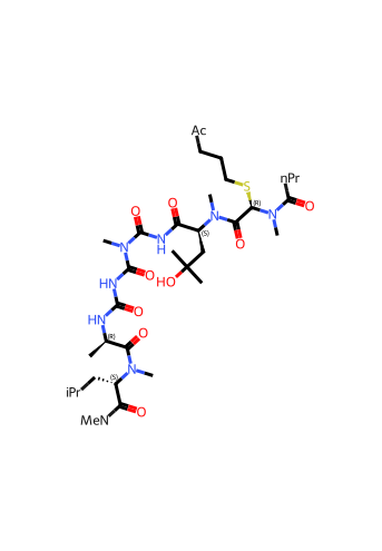 CCCC(=O)N(C)[C@H](SCCCC(C)=O)C(=O)N(C)[C@@H](CC(C)(C)O)C(=O)NC(=O)N(C)C(=O)NC(=O)N[C@H](C)C(=O)N(C)[C@@H](CC(C)C)C(=O)NC